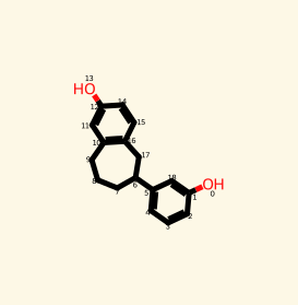 Oc1cccc(C2CCCc3cc(O)ccc3C2)c1